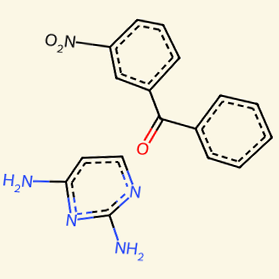 Nc1ccnc(N)n1.O=C(c1ccccc1)c1cccc([N+](=O)[O-])c1